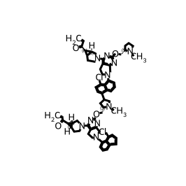 C=CC(=O)C1[C@H]2CCN(c3nc(OC[C@@H]4CC(c5ccc(Cl)c6c(N7CCc8c(nc(OC[C@@H]9CCCN9C)nc8N8CCC9[C@@H](C(=O)C=C)[C@H]9C8)C7)cccc56)CN4C)nc4c3CCN(c3cccc5cccc(Cl)c35)C4)C[C@@H]12